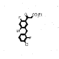 CCOC(=O)CC(=O)c1cc(Cc2cccc(Cl)c2F)c(CC)cc1F